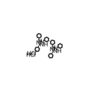 Cl.Cl.c1ccc(C2=NN(c3ccccc3)N(c3ccccc3)N2)cc1.c1ccc(C2=NN(c3ccccc3)N(c3ccccc3)N2)cc1